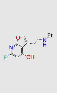 CCNCCc1coc2nc(F)cc(O)c12